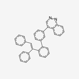 C(=C(c1ccccc1)c1ccccc1-c1cccc(-c2cnnc3ccccc23)c1)c1ccccc1